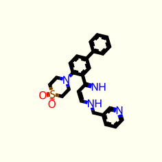 N=C(/C=C\NCc1cccnc1)c1cc(-c2ccccc2)ccc1N1CCS(=O)(=O)CC1